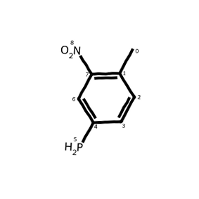 Cc1ccc(P)cc1[N+](=O)[O-]